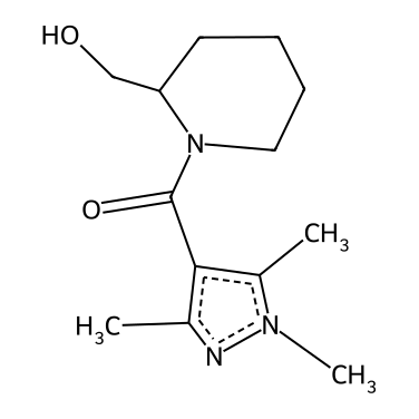 Cc1nn(C)c(C)c1C(=O)N1CCCCC1CO